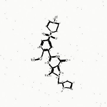 CCOc1ncc(S(=O)(=O)N2CCN(CC)CC2)cc1-c1nc2c(CC)n(CC3CCCO3)nc2c(=O)[nH]1